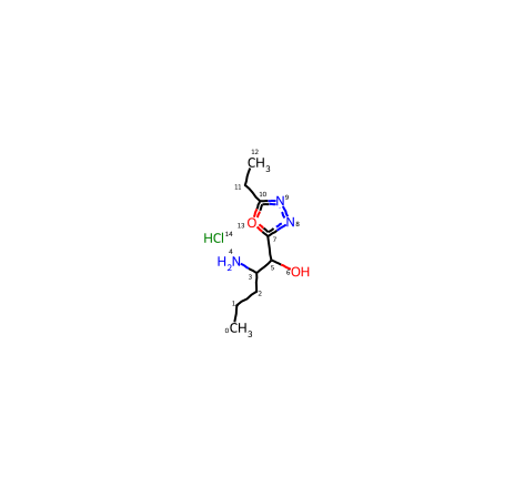 CCCC(N)C(O)c1nnc(CC)o1.Cl